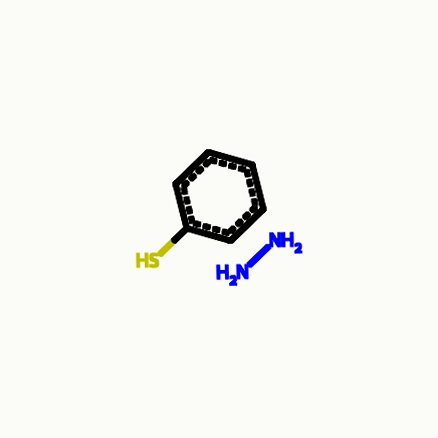 NN.Sc1ccccc1